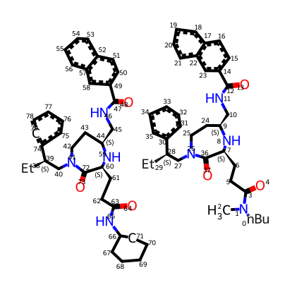 CCCCN(C)C(=O)CC[C@@H]1N[C@H](CNC(=O)c2ccc3ccccc3c2)CCN(C[C@@H](CC)c2ccccc2)C1=O.CC[C@H](CN1CC[C@@H](CNC(=O)c2ccc3ccccc3c2)N[C@@H](CCC(=O)NC2CCCCC2)C1=O)c1ccccc1